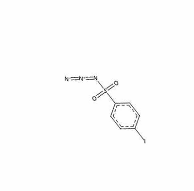 [N-]=[N+]=NS(=O)(=O)c1ccc(I)cc1